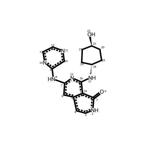 O=c1[nH]ccc2cc(Nc3cnccn3)nc(N[C@H]3CC[C@H](O)CC3)c12